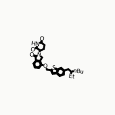 CCCCC(CC)Cc1ccc2cc(COc3cccc4c3CN(C3CCC(=O)NC3=O)C4=O)sc2c1